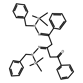 C[Si](C)(C)N(Cc1ccccc1)N=C(CC(=O)c1ccccc1)CC(=NN(Cc1ccccc1)[Si](C)(C)C)c1ccccc1